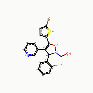 OCN1OC(c2ccc(Br)s2)=C(c2cccnc2)C1c1ccccc1F